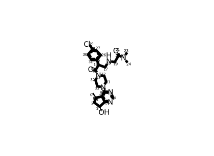 C[C@@H]1C[C@@H](O)c2ncnc(N3CCN(C(=O)C(CNCC(=O)N(C)C)c4ccc(Cl)cc4)CC3)c21